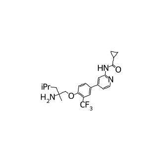 CC(C)CC(C)(N)COc1ccc(-c2ccnc(NC(=O)C3CC3)c2)cc1C(F)(F)F